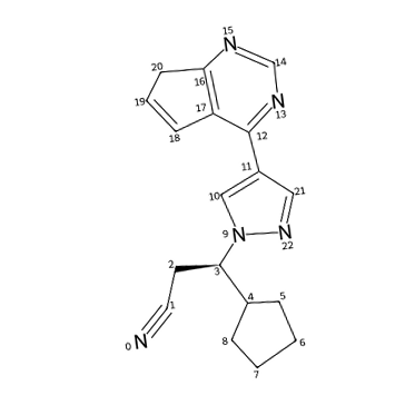 N#CC[C@H](C1CCCC1)n1cc(-c2ncnc3c2C=CC3)cn1